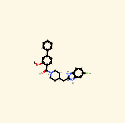 COc1cc(-c2ccccc2)ccc1C(=O)N1CCC(Cc2nc3cc(F)ccc3[nH]2)CC1